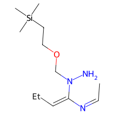 C/C=N\C(=C\CC)N(N)COCC[Si](C)(C)C